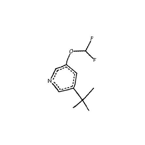 CC(C)(C)c1cncc(OC(F)F)c1